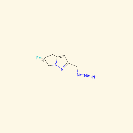 [N-]=[N+]=NCc1cc2n(n1)C[C@@H](F)C2